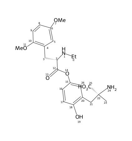 CCN[C@@H](Cc1cc(OC)ccc1OC)C(=O)Oc1ccc(O)c(C[C@](C)(N)C(=O)O)c1